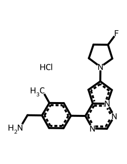 Cc1cc(-c2ncnn3cc(N4CCC(F)C4)cc23)ccc1CN.Cl